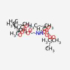 CCCCCC(C)(C)C(=O)OCC(COC(=O)C(C)(C)CCCCC)OC(=O)CCCNCCCC(=O)OC(COC(=O)C(C)(C)CCCCC)COC(=O)C(C)(C)CCCCC